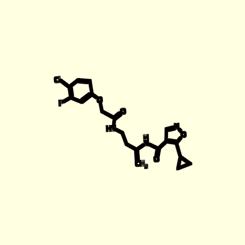 C=C(CCNC(=O)COc1ccc(Cl)c(F)c1)NC(=O)c1cnoc1C1CC1